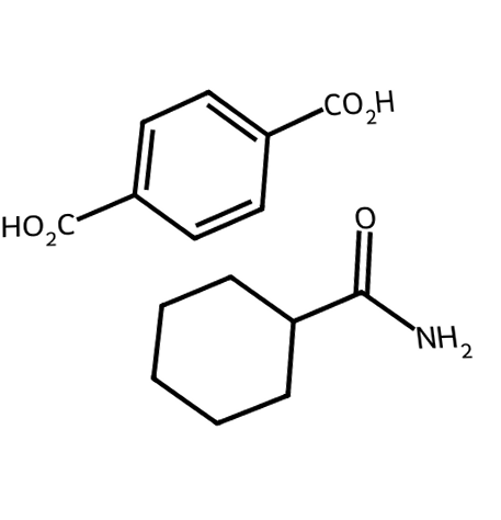 NC(=O)C1CCCCC1.O=C(O)c1ccc(C(=O)O)cc1